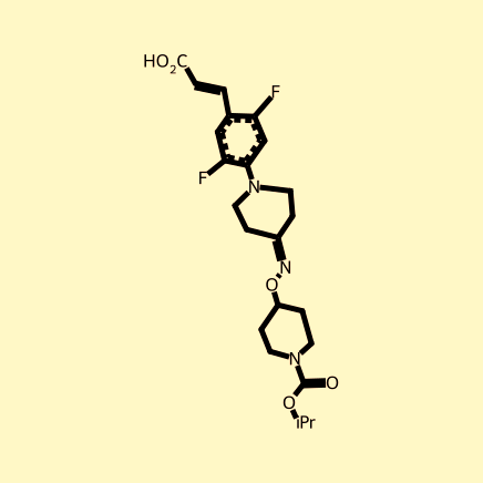 CC(C)OC(=O)N1CCC(ON=C2CCN(c3cc(F)c(/C=C/C(=O)O)cc3F)CC2)CC1